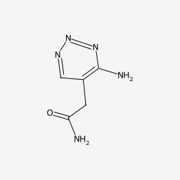 NC(=O)Cc1cnnnc1N